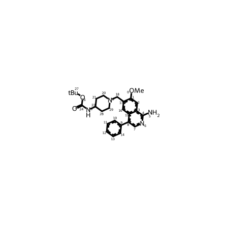 COc1cc2c(N)ncc(-c3ccccc3)c2cc1CN1CCC(NC(=O)OC(C)(C)C)CC1